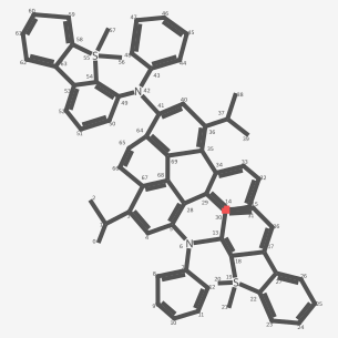 CC(C)c1cc(N(c2ccccc2)c2cccc3c2S(C)(C)c2ccccc2-3)c2c3ccccc3c3c(C(C)C)cc(N(c4ccccc4)c4cccc5c4S(C)(C)c4ccccc4-5)c4ccc1c2c43